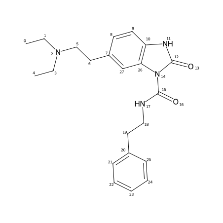 CCN(CC)CCc1ccc2[nH]c(=O)n(C(=O)NCCc3ccccc3)c2c1